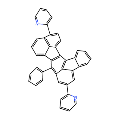 c1ccc(-c2c3cc(-c4ccccn4)cc4c5ccccc5c(c34)c3c4ccc(-c5ccccn5)c5cccc(c23)c54)cc1